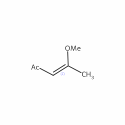 CO/C(C)=C\C(C)=O